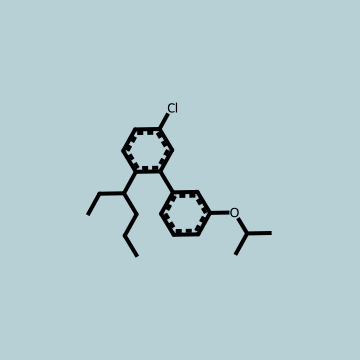 CCCC(CC)c1ccc(Cl)cc1-c1cccc(OC(C)C)c1